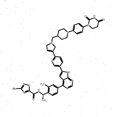 Cc1cc(-c2ncnc3[nH]c(-c4ccc(C5=CCN(CC6CCN(c7ccc(N8CCC(=O)NC8=O)cc7)CC6)C5)nc4)cc23)ccc1[C@@H](C)NC(=O)c1nc(C(C)(C)C)no1